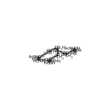 CC(=O)N[C@H]1[C@H](OCCOCCOCCOCC(=O)NCCCC[C@H](NC(=O)[C@H](CCCCNC(=O)COC(C)OCCOCCO[C@@H]2O[C@H](CO)[C@H](O)[C@H](O)[C@H]2NC(C)=O)NC(=O)COC(C)OCCOCCO[C@@H]2O[C@H](CO)[C@H](O)[C@H](O)[C@H]2NC(C)=O)C(=O)O)O[C@H](CO)[C@H](O)[C@@H]1O